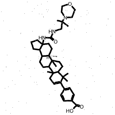 CC1(C)C(c2ccc(C(=O)O)cc2)=CCC2(C)C1CCC1(C)C2CCC2C3CCCC3(NC(=O)NCC(C)(C)N3CCOCC3)CC[C@]21C